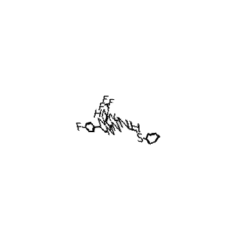 Fc1ccc(-c2cnc3nc(NCCSc4ccccc4)nc(NCC(F)(F)F)c3n2)cc1